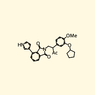 COc1ccc(C(CN2C(=O)c3cccc(-c4cc[nH]c4)c3C2=O)C(C)=O)cc1OC1CCCC1